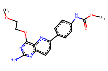 COCCOc1nc(N)nc2ccc(-c3ccc(NC(=O)OC)cc3)nc12